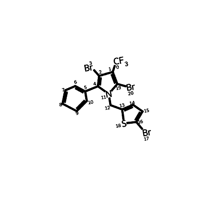 FC(F)(F)c1c(Br)c(-c2ccccc2)n(Cc2ccc(Br)s2)c1Br